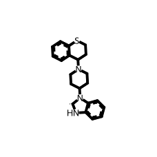 [CH]1Nc2ccccc2N1C1CCN(C2CCSc3ccccc32)CC1